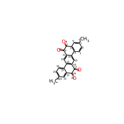 Cc1ccc2c(c1)c(=O)c(=O)c1cc3c(cc12)c(=O)c(=O)c1cc(C)ccc13